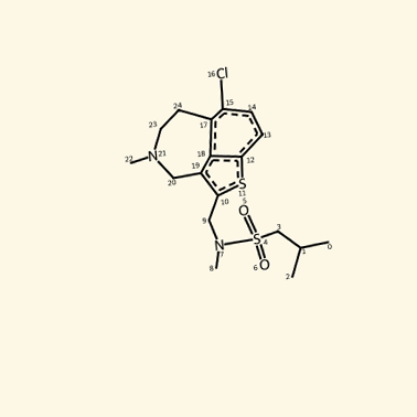 CC(C)CS(=O)(=O)N(C)Cc1sc2ccc(Cl)c3c2c1CN(C)CC3